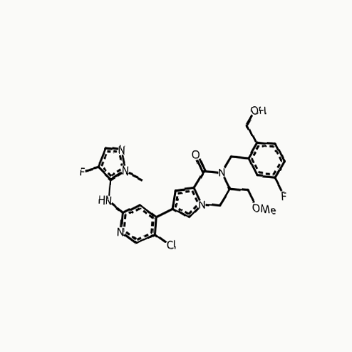 COCC1Cn2cc(-c3cc(Nc4c(F)cnn4C)ncc3Cl)cc2C(=O)N1Cc1cc(F)ccc1CO